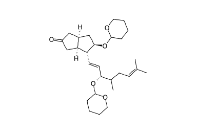 CC(C)=CCC(C)[C@@H](/C=C/[C@@H]1[C@H]2CC(=O)C[C@H]2C[C@H]1OC1CCCCO1)OC1CCCCO1